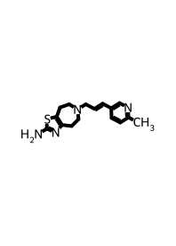 Cc1ccc(C=CCN2CCc3nc(N)sc3CC2)cn1